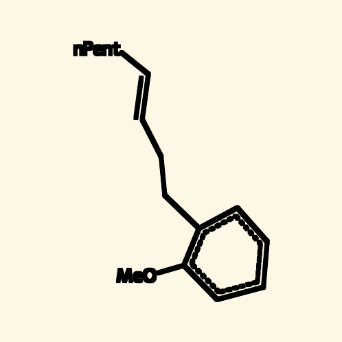 CCCCCC=CCCc1ccccc1OC